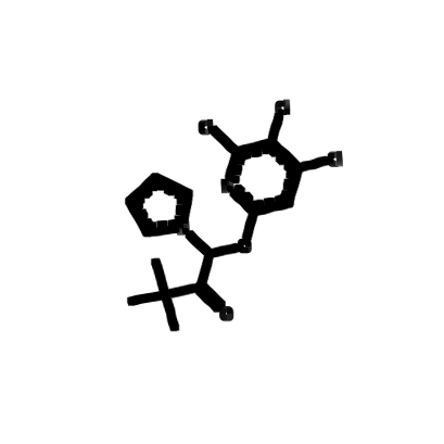 CC(C)(C)C(=O)C(Oc1cc(Cl)c(Cl)c(Cl)n1)n1cccc1